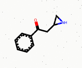 O=C(CC1CN1)c1ccccc1